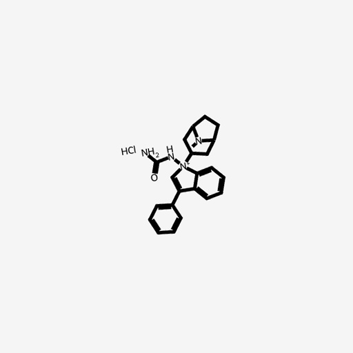 CN1C2CCC1CC([N+]1(NC(N)=O)C=C(c3ccccc3)c3ccccc31)C2.Cl